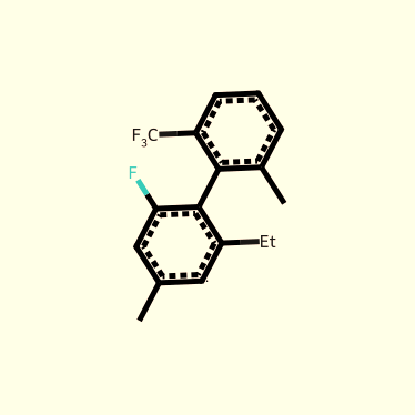 CCc1[c]c(C)cc(F)c1-c1c(C)cccc1C(F)(F)F